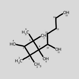 CC1(C)C(O)C(C)(C)C1(O)C(O)CCCO